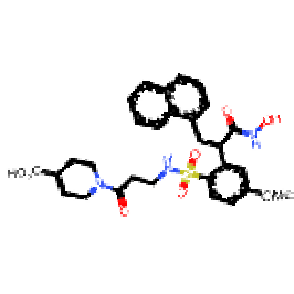 COc1ccc(S(=O)(=O)NCCC(=O)N2CCC(C(=O)O)CC2)c(C(Cc2cccc3ccccc23)C(=O)NO)c1